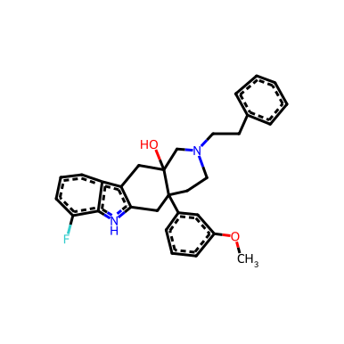 COc1cccc(C23CCN(CCc4ccccc4)CC2(O)Cc2c([nH]c4c(F)cccc24)C3)c1